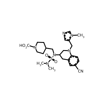 CN(C)S(=O)(=O)N(CC1CCN(C(=O)O)CC1)C1Cc2cc(C#N)ccc2N(Cc2cncn2C)C1